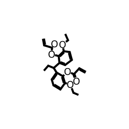 C=CC(=O)Oc1c(OCC)cccc1C(CC)c1cccc(OCC)c1OC(=O)C=C